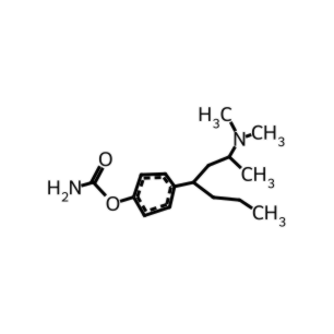 CCCC(CC(C)N(C)C)c1ccc(OC(N)=O)cc1